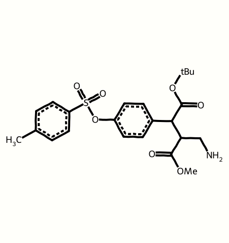 COC(=O)C(CN)C(C(=O)OC(C)(C)C)c1ccc(OS(=O)(=O)c2ccc(C)cc2)cc1